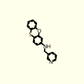 c1cncc(CNc2ccc3c(c2)Oc2ccccc2S3)c1